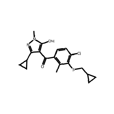 Cc1c(C(=O)c2c(C3CC3)nn(C)c2O)ccc(Cl)c1SCC1CC1